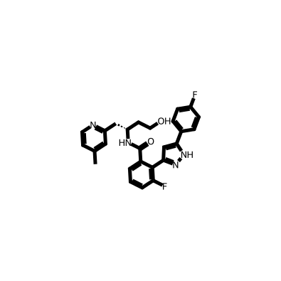 Cc1ccnc(C[C@H](CCO)NC(=O)c2cccc(F)c2-c2cc(-c3ccc(F)cc3)[nH]n2)c1